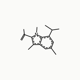 C=C(C)c1c(C)c2cc(C)cc(C(C)C)c2n1C